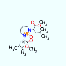 COC(=O)C(CC(C)C)N1CC=CCN([C@@H](CC(C)C)C(=O)OC)[PH]1=O